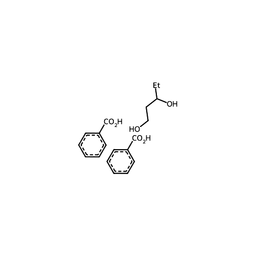 CCC(O)CCO.O=C(O)c1ccccc1.O=C(O)c1ccccc1